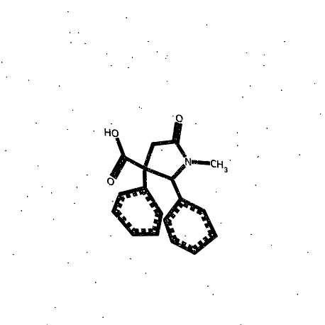 CN1C(=O)CC(C(=O)O)(c2ccccc2)C1c1ccccc1